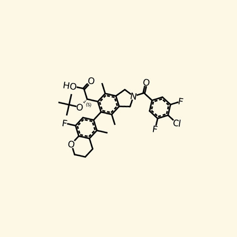 Cc1c(-c2c(C)c3c(c(C)c2[C@H](OC(C)(C)C)C(=O)O)CN(C(=O)c2cc(F)c(Cl)c(F)c2)C3)cc(F)c2c1CCCO2